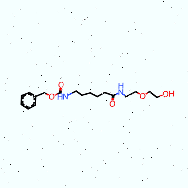 O=C(CCCCCNC(=O)OCc1ccccc1)NCCOCCO